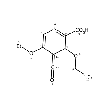 CCOC1=CN=C(C(=O)O)C(OCC(F)(F)F)C1=C=O